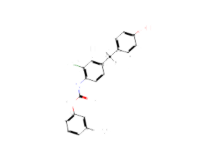 COc1cccc(OC(=O)Nc2ccc(C(C)(C)c3ccc(O)cc3)cc2Cl)c1